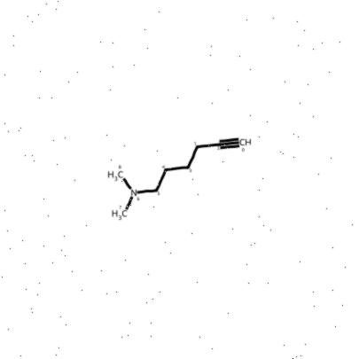 C#CCCCCN(C)C